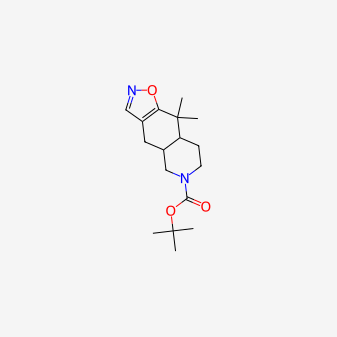 CC(C)(C)OC(=O)N1CCC2C(Cc3cnoc3C2(C)C)C1